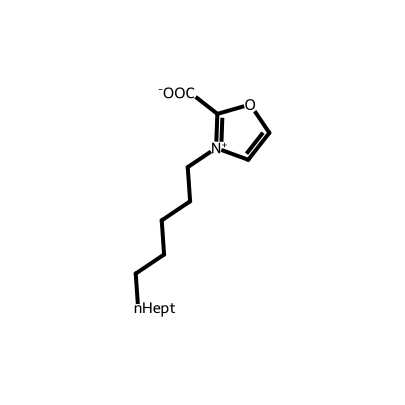 CCCCCCCCCCCC[n+]1ccoc1C(=O)[O-]